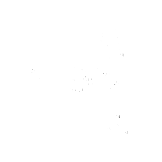 N=C(N)NCCC[C@H](N)C(=O)N[C@@H](Cc1c[nH]c2ccccc12)C(=O)N[C@@H](CCCCN)C(=O)O